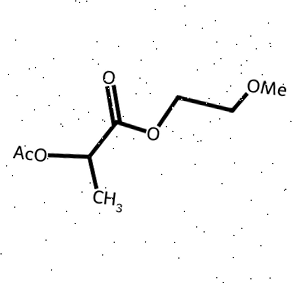 COCCOC(=O)C(C)OC(C)=O